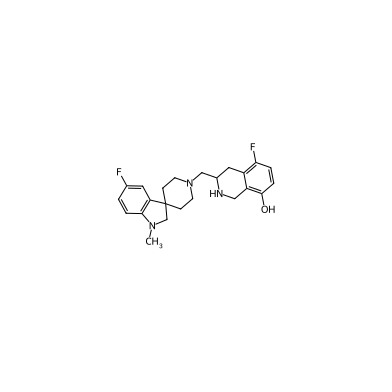 CN1CC2(CCN(CC3Cc4c(F)ccc(O)c4CN3)CC2)c2cc(F)ccc21